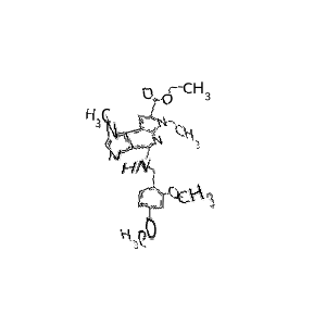 CCOC(=O)c1cc2c3c(ncn3C)c(NCc3ccc(OC)cc3OC)nc2n1CC